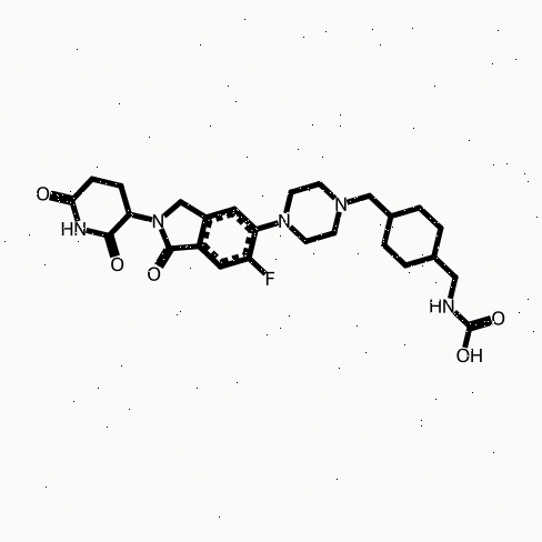 O=C(O)NCC1CCC(CN2CCN(c3cc4c(cc3F)C(=O)N(C3CCC(=O)NC3=O)C4)CC2)CC1